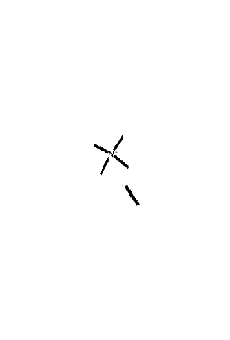 C[N+](C)(C)C.[CH2]C